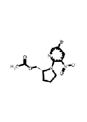 CC(=O)OC[C@H]1CCCN1c1ncc(Br)cc1[N+](=O)[O-]